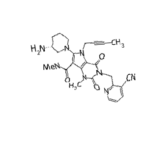 CC#CCn1c(N2CCC[C@@H](N)C2)c(C(=O)NC)c2c1c(=O)n(Cc1ncccc1C#N)c(=O)n2C